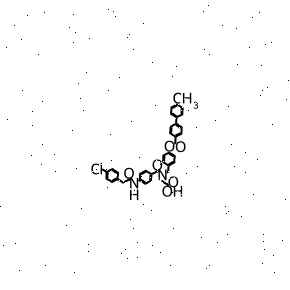 Cc1ccc(-c2ccc(C(=O)Oc3ccc(CN(CC(=O)O)C(=O)c4ccc(NC(=O)Cc5ccc(Cl)cc5)cc4)cc3)cc2)cc1